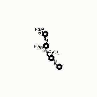 COc1cc(/N=N/c2ccccc2)ccc1CC(=O)Nc1ccc(/N=N/c2cccc(S(=O)(=O)O)c2)cc1OC